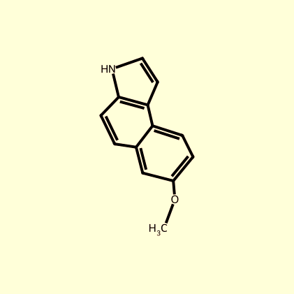 COc1ccc2c(ccc3[nH]ccc32)c1